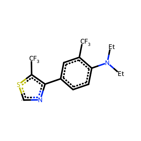 CCN(CC)c1ccc(-c2n[c]sc2C(F)(F)F)cc1C(F)(F)F